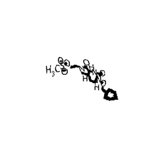 CS(=O)(=O)OCCN1C[C@@H]2C[C@@H]3CN(C(=O)N3OCc3ccccc3)[C@@H]2C1=O